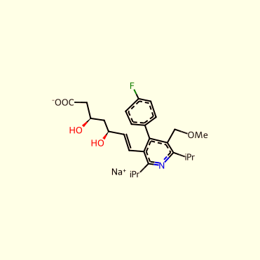 COCc1c(C(C)C)nc(C(C)C)c(/C=C/[C@@H](O)C[C@@H](O)CC(=O)[O-])c1-c1ccc(F)cc1.[Na+]